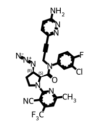 Cc1cc(C(F)(F)F)c(C#N)c(N2CC[C@@H](N=[N+]=[N-])[C@H]2C(=O)N(CC#Cc2ccc(N)nn2)c2ccc(F)c(Cl)c2)n1